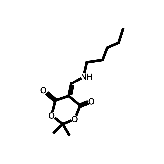 CCCCCNC=C1C(=O)OC(C)(C)OC1=O